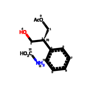 CC(=O)OC[C@@H](CO)c1ccccc1.NC(=O)O